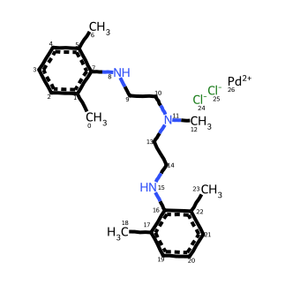 Cc1cccc(C)c1NCCN(C)CCNc1c(C)cccc1C.[Cl-].[Cl-].[Pd+2]